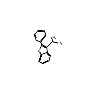 CC(C)c1c(-c2ccccn2)sc2ccccc12